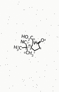 CC(C)(C#N)[C@H]1CCC(=O)N1C(=O)O